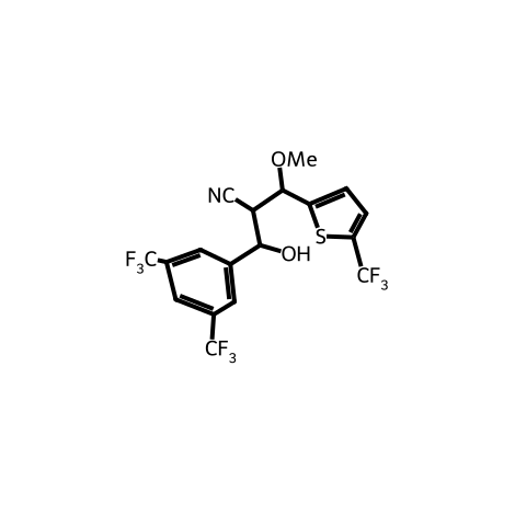 COC(c1ccc(C(F)(F)F)s1)C(C#N)C(O)c1cc(C(F)(F)F)cc(C(F)(F)F)c1